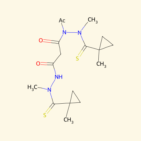 CC(=O)N(C(=O)CC(=O)NN(C)C(=S)C1(C)CC1)N(C)C(=S)C1(C)CC1